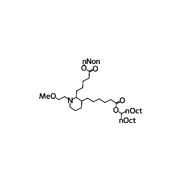 CCCCCCCCCOC(=O)CCCCC1C(CCCCCC(=O)OC(CCCCCCCC)CCCCCCCC)CCCN1CCOC